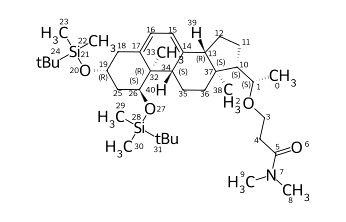 C[C@H](OCCC(=O)N(C)C)[C@H]1CC[C@H]2C3=CC=C4C[C@@H](O[Si](C)(C)C(C)(C)C)C[C@H](O[Si](C)(C)C(C)(C)C)[C@]4(C)[C@H]3CC[C@]12C